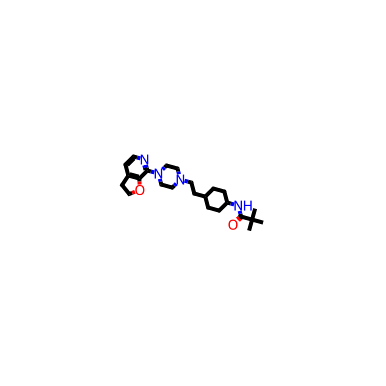 CC(C)(C)C(=O)NC1CCC(CCN2CCN(c3nccc4c3OCC4)CC2)CC1